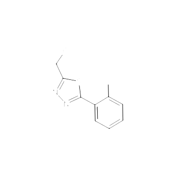 Fc1ccccc1-c1nnc(CCl)s1